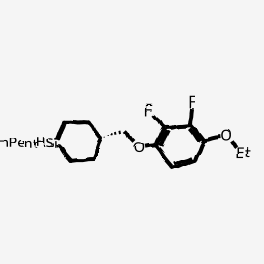 CCCCC[Si@H]1CC[C@H](COc2ccc(OCC)c(F)c2F)CC1